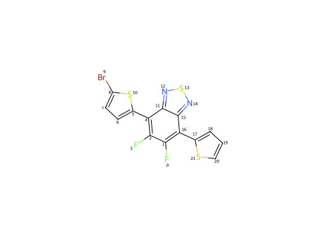 Fc1c(F)c(-c2ccc(Br)s2)c2nsnc2c1-c1cccs1